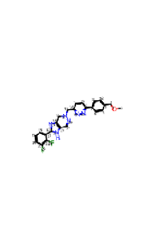 COCc1ccc(-c2ccc(CN3Cc4nc(-c5cccc(F)c5F)[nH]c4C=N3)nn2)cc1